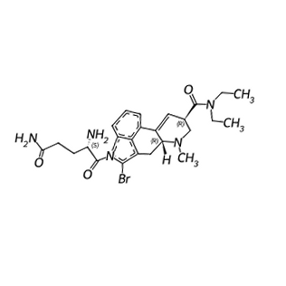 CCN(CC)C(=O)[C@@H]1C=C2c3cccc4c3c(c(Br)n4C(=O)[C@@H](N)CCC(N)=O)C[C@H]2N(C)C1